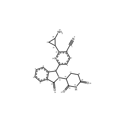 N#Cc1ccc(C2c3ccccc3C(=O)N2C2CCC(=O)NC2=O)nc1C1CC1N